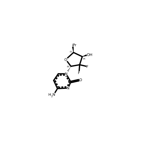 CC(C)[C@@H]1O[C@@H](n2ccc(N)nc2=O)C(F)(F)[C@@H]1O